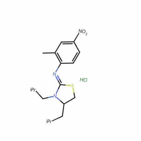 Cc1cc([N+](=O)[O-])ccc1N=C1SCC(CC(C)C)N1CC(C)C.Cl